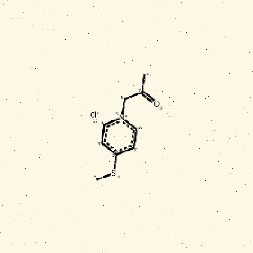 CSc1cc[n+](CC(C)=O)cc1.[Cl-]